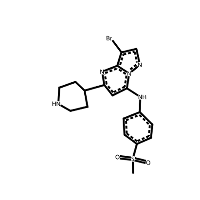 CS(=O)(=O)c1ccc(Nc2cc(C3CCNCC3)nc3c(Br)cnn23)cc1